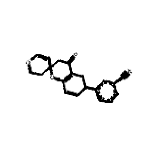 N#Cc1cccc(C2C=CC3=C(C2)C(=O)CC2(C=COCC2)O3)c1